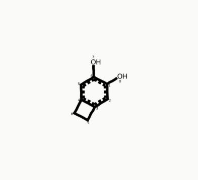 Oc1cc2c(cc1O)CC2